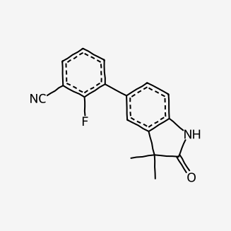 CC1(C)C(=O)Nc2ccc(-c3cccc(C#N)c3F)cc21